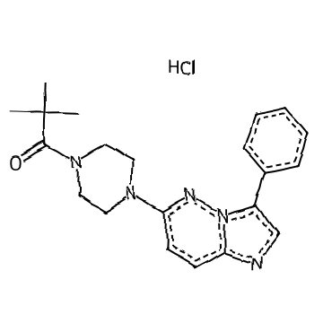 CC(C)(C)C(=O)N1CCN(c2ccc3ncc(-c4ccccc4)n3n2)CC1.Cl